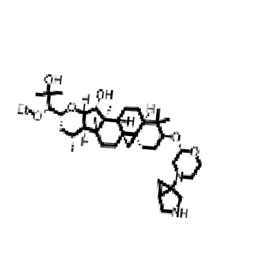 CCO[C@@H]([C@H]1C[C@@H](C)[C@H]2[C@H](O1)[C@H](O)[C@@]1(C)[C@@H]3CC[C@H]4C(C)(C)[C@@H](O[C@H]5CN(C67CNCC6C7)CCO5)CC[C@@]45C[C@@]35CC[C@]21C)C(C)(C)O